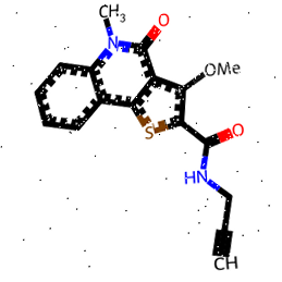 C#CCNC(=O)c1sc2c(c1OC)c(=O)n(C)c1ccccc21